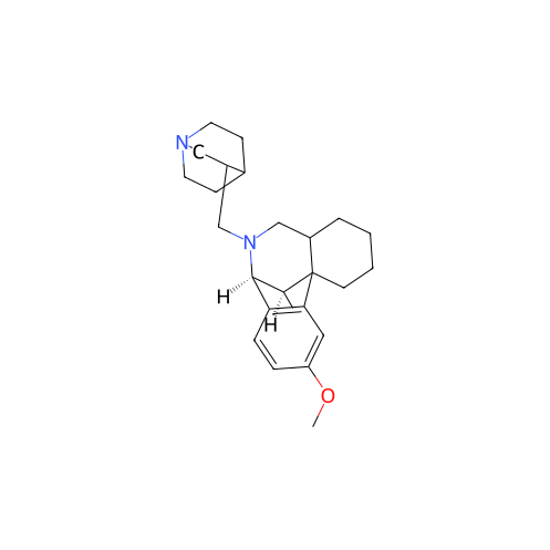 COc1ccc2c(c1)C13CCCCC1CN(CC1CN4CCC1CC4)[C@H]2[C@@H]3C